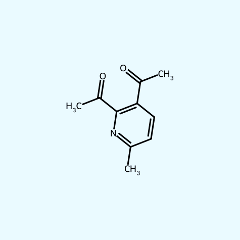 CC(=O)c1ccc(C)nc1C(C)=O